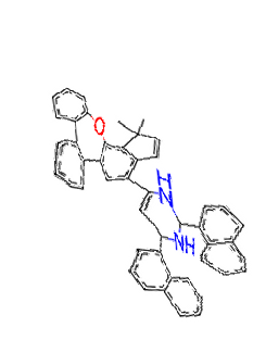 CC1(C)C=Cc2c(C3=CC(c4cccc5ccccc45)NC(c4cccc5ccccc45)N3)cc3c(c21)Oc1ccccc1-c1ccccc1-3